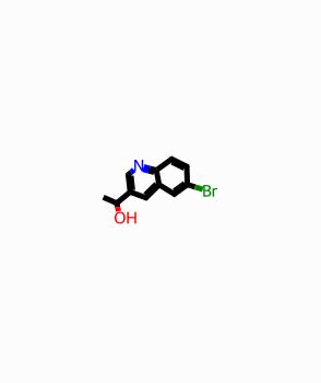 CC(O)c1cnc2ccc(Br)cc2c1